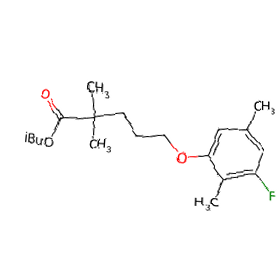 Cc1cc(F)c(C)c(OCCCC(C)(C)C(=O)OCC(C)C)c1